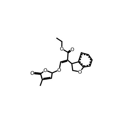 CCOC(=O)/C(=C/OC1C=C(C)C(=O)O1)C1COc2ccccc21